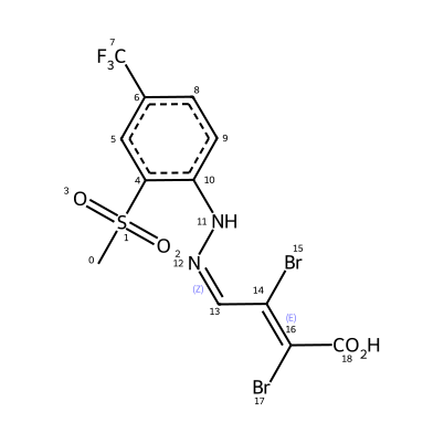 CS(=O)(=O)c1cc(C(F)(F)F)ccc1N/N=C\C(Br)=C(/Br)C(=O)O